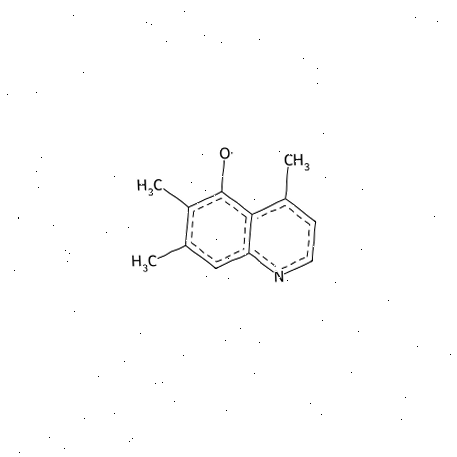 Cc1cc2nccc(C)c2c([O])c1C